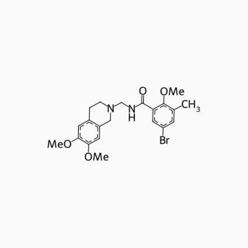 COc1cc2c(cc1OC)CN(CNC(=O)c1cc(Br)cc(C)c1OC)CC2